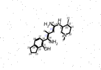 CC(/C=C(\N)NC1CN(C)CC[C@@H]1C)=C(/N)c1ccc2c(c1O)CCC2